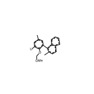 [Li][c]1cc(C)cc(-c2c(C)ccc3ccccc23)c1OCOC